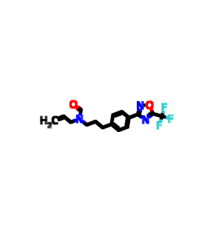 C=CCN(C=O)CCCc1ccc(-c2noc(C(F)(F)F)n2)cc1